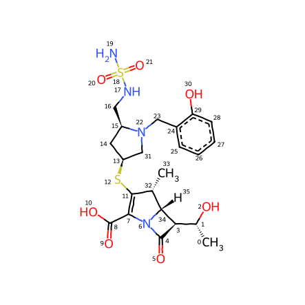 C[C@@H](O)[C@H]1C(=O)N2C(C(=O)O)=C(S[C@H]3C[C@@H](CNS(N)(=O)=O)N(Cc4ccccc4O)C3)[C@H](C)[C@H]12